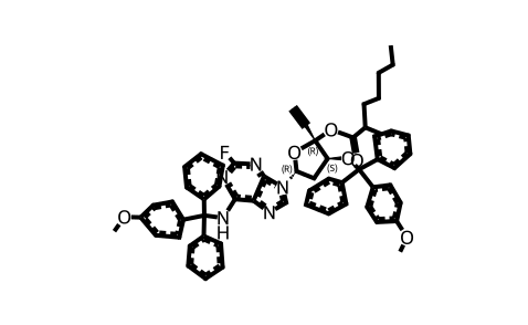 C#C[C@]1(OC(=O)C(C)CCCCC)O[C@@H](n2cnc3c(NC(c4ccccc4)(c4ccccc4)c4ccc(OC)cc4)nc(F)nc32)C[C@@H]1OC(c1ccccc1)(c1ccccc1)c1ccc(OC)cc1